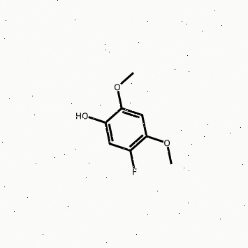 COc1cc(OC)c(F)cc1O